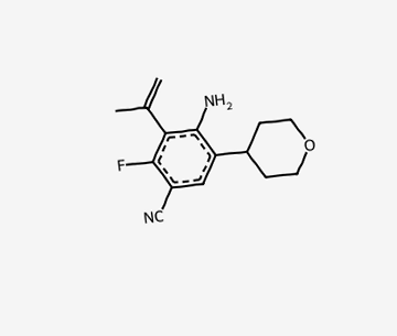 C=C(C)c1c(N)c(C2CCOCC2)cc(C#N)c1F